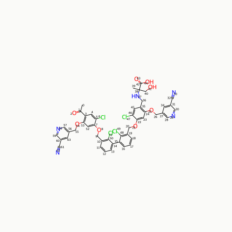 CC(=O)c1cc(Cl)c(OCc2cccc(-c3cccc(COc4cc(OCc5cncc(C#N)c5)c(CNC(C)(CO)C(=O)O)cc4Cl)c3Cl)c2Cl)cc1OCc1cncc(C#N)c1